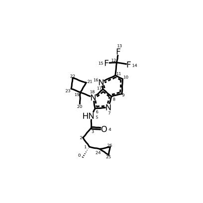 C[C@H](CC(=O)Nc1nc2ccc(C(F)(F)F)nc2n1C1(C)CCC1)C1CC1